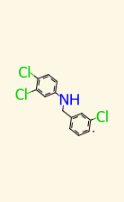 Clc1[c]ccc(CNc2ccc(Cl)c(Cl)c2)c1